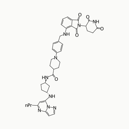 CCCc1cc(N[C@@H]2CC[C@@H](NC(=O)C3CCN(c4ccc(CNc5cccc6c5C(=O)N(C5CCC(=O)NC5=O)C6=O)cc4)CC3)C2)n2nccc2n1